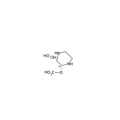 Cl.Cl.O=C(O)O[C@@H]1CNCCN1